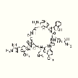 C=C(N)[C@@H]1CCCNC(=O)CC[C@H](NC(=O)[C@H](CCCNC(=N)N)NC(C)=O)C(=O)N[C@@H](CCN)C(=O)N[C@H](Cc2ccc(C)cc2)C(=O)N[C@@H](CCCNC(=N)N)C(=O)N[C@@H](Cc2c[nH]c3ccccc23)C(=O)N1